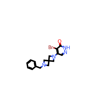 O=c1[nH]ncc(N2CC3(CN(Cc4ccccc4)C3)C2)c1Br